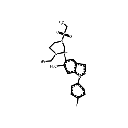 Cc1cc2c(cnn2-c2ccc(F)cc2)cc1[C@@H]1CN(S(=O)(=O)CC(F)(F)F)CCN1CC(C)C